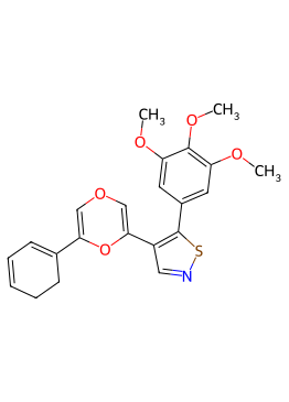 COc1cc(-c2sncc2C2=COC=C(C3=CC=CCC3)O2)cc(OC)c1OC